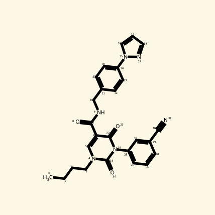 CCCCn1cc(C(=O)NCc2ccc(-n3cccn3)cc2)c(=O)n(-c2cccc(C#N)c2)c1=O